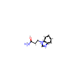 NC(=O)CCn1[c]nc2ccccc21